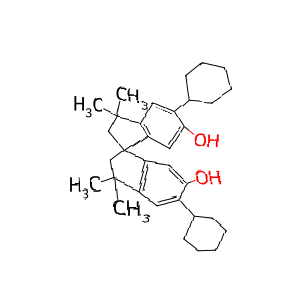 CC1(C)CC2(CC(C)(C)c3cc(C4CCCCC4)c(O)cc32)c2cc(O)c(C3CCCCC3)cc21